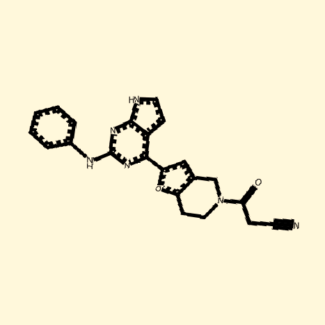 N#CCC(=O)N1CCc2oc(-c3nc(Nc4ccccc4)nc4[nH]ccc34)cc2C1